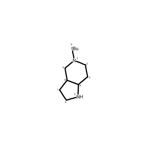 CC(C)(C)N1CCC2NCCC2C1